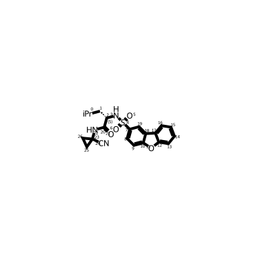 CC(C)C[C@H](NS(=O)(=O)c1ccc2oc3ccccc3c2c1)C(=O)NC1(C#N)CC1